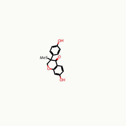 CSC1(c2ccc(O)cc2)COc2cc(O)ccc2C1=O